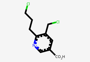 O=C(O)c1cnc(CCCCl)c(CCl)c1